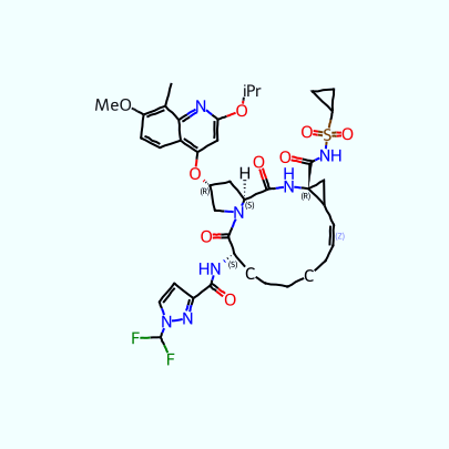 COc1ccc2c(O[C@@H]3C[C@H]4C(=O)N[C@]5(C(=O)NS(=O)(=O)C6CC6)CC5/C=C\CCCCC[C@H](NC(=O)c5ccn(C(F)F)n5)C(=O)N4C3)cc(OC(C)C)nc2c1C